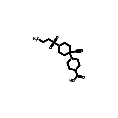 CCCS(=O)(=O)N1CCC(C#N)(N2CCN(C(=O)O)CC2)CC1